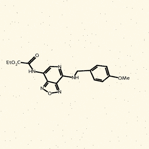 CCOC(=O)C(=O)Nc1cnc(NCc2ccc(OC)cc2)c2nonc12